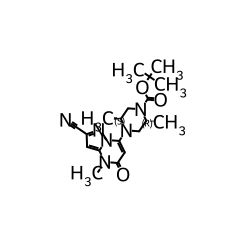 C[C@@H]1CN(c2cc(=O)n(C)c3cc(C#N)nn23)[C@@H](C)CN1C(=O)OC(C)(C)C